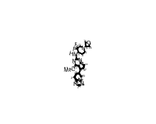 COc1nc(N[C@@H]2CCN(C3COC3)CC2(F)F)nn2ccc(-c3ccc4ncnn4c3)c12